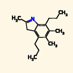 CCCc1c(C)c(C)c(CCC)c2c1CC(C)=N2